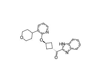 O=C(c1nc2ccccc2[nH]1)[C@H]1C[C@H](Oc2ncccc2C2CCOCC2)C1